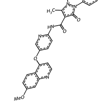 COc1ccc2c(Oc3ccc(NC(=O)c4c(C)n(C)n(-c5ccccc5)c4=O)nc3)ccnc2c1